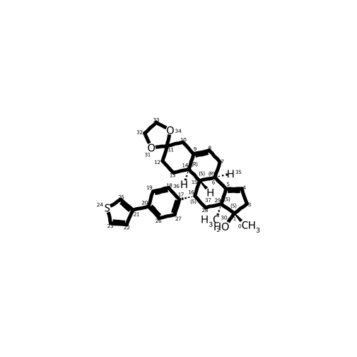 C[C@]1(O)CC=C2[C@@H]3CC=C4CC5(CC[C@@H]4[C@H]3[C@@H](c3ccc(-c4ccsc4)cc3)C[C@@]21C)OCCO5